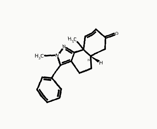 Cn1nc2c(c1-c1ccccc1)CC[C@H]1CC(=O)C=CC21C